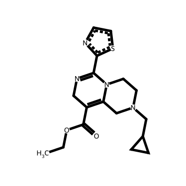 CCOC(=O)C1=C2CN(CC3CC3)CCN2C(c2nccs2)=NC1